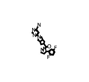 N#Cc1cc(N2CC3CC(C(=O)N4N=CCC4c4cc(F)ccc4F)CC3C2)ncn1